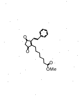 COC(=O)CCCCCCC1=C(C=Cc2ccccc2)C(=O)CC1=O